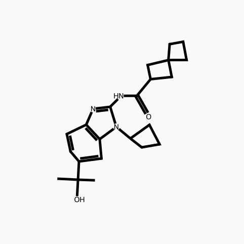 CC(C)(O)c1ccc2nc(NC(=O)C3CC4(CCC4)C3)n(C3CCC3)c2c1